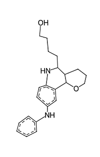 OCCCCC1Nc2ccc(Nc3ccccc3)cc2C2OCCCC12